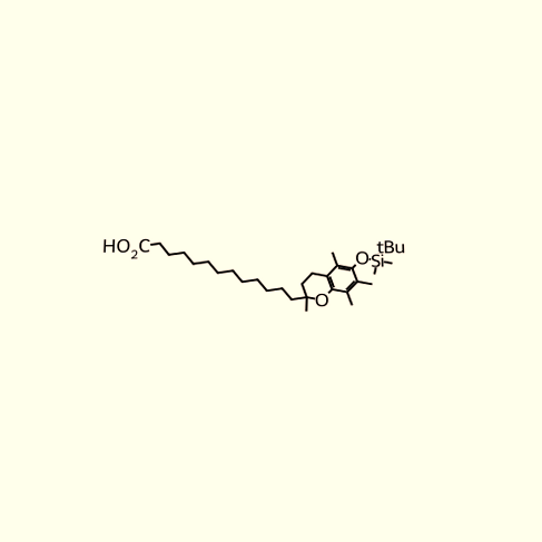 Cc1c(C)c2c(c(C)c1O[Si](C)(C)C(C)(C)C)CCC(C)(CCCCCCCCCCCCC(=O)O)O2